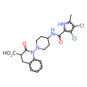 Cc1[nH]c(C(=O)NC2CCN(N3C(=O)C(C(=O)O)Cc4ccccc43)CC2)c(Cl)c1Cl